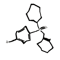 O=P(c1ccc(Br)cc1)(C1CCCCC1)C1CCCCC1